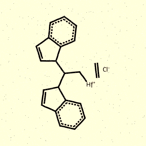 C=C.[Cl-].[Hf+][CH2]C(C1C=Cc2ccccc21)C1C=Cc2ccccc21